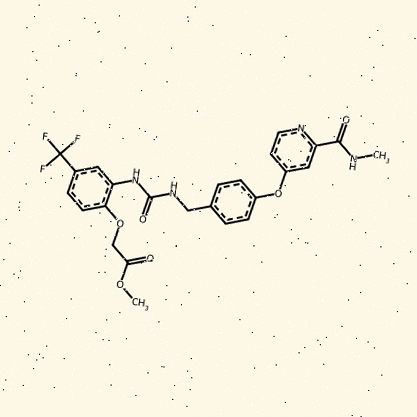 CNC(=O)c1cc(Oc2ccc(CNC(=O)Nc3cc(C(F)(F)F)ccc3OCC(=O)OC)cc2)ccn1